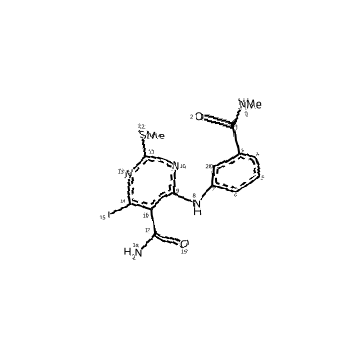 CNC(=O)c1cccc(Nc2nc(SC)nc(I)c2C(N)=O)c1